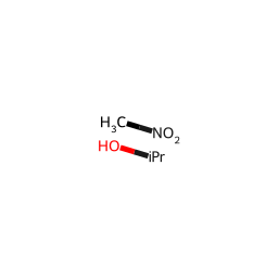 CC(C)O.C[N+](=O)[O-]